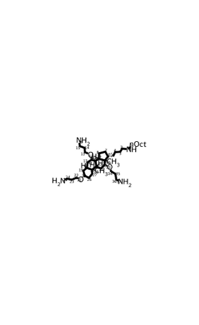 CCCCCCCCNCCCC[C@H]1CC[C@H]2[C@@H]3[C@H](OCCCN)C[C@@H]4C[C@H](OCCCN)CC[C@]4(C)[C@H]3C[C@H](OCCCN)[C@]12C